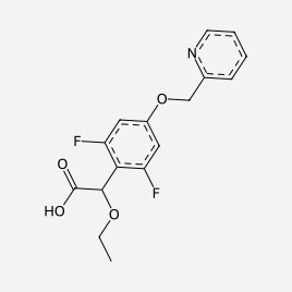 CCOC(C(=O)O)c1c(F)cc(OCc2ccccn2)cc1F